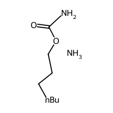 CCCCCCCOC(N)=O.N